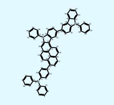 c1ccc(N(c2ccccc2)c2ccc(-c3ccc4ccc5c6c(ccc3c46)cc3c5c4cc(-c5ccc6c(c5)c5ccccc5n6-c5ccccc5)ccc4n3-c3ccccc3)cc2)cc1